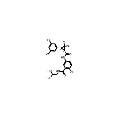 O=C(NCC(O)C(F)(F)F)c1cc(NC(=O)[C@H]2[C@H](c3cc(Cl)cc(Cl)c3)C2(Cl)Cl)ccc1Cl